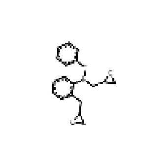 c1ccc(ON(CC2CO2)c2ccccc2CC2CO2)cc1